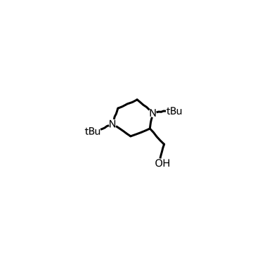 CC(C)(C)N1CCN(C(C)(C)C)C(CO)C1